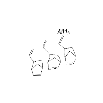 C=CC1CC2C=CC1C2.C=CC1CC2C=CC1C2.C=CC1CC2C=CC1C2.[AlH3]